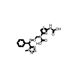 Cn1nnnc1C(=NOCN(C(=O)O)c1csc(NC(=O)O)n1)c1ccccc1